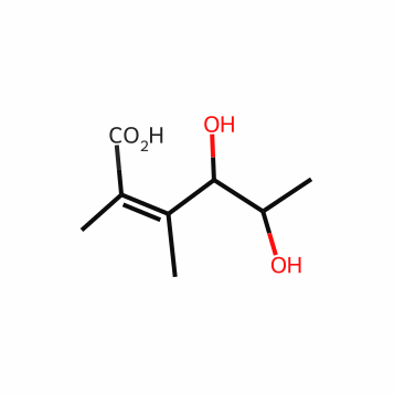 CC(C(=O)O)=C(C)C(O)C(C)O